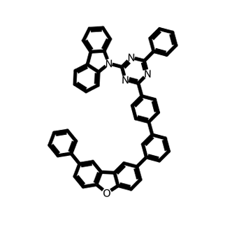 c1ccc(-c2ccc3oc4ccc(-c5cccc(-c6ccc(-c7nc(-c8ccccc8)nc(-n8c9ccccc9c9ccccc98)n7)cc6)c5)cc4c3c2)cc1